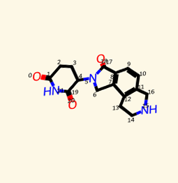 O=C1CCC(N2Cc3c(ccc4c3CCNC4)C2=O)C(=O)N1